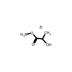 CC(O)C(=O)ON.[Zr]